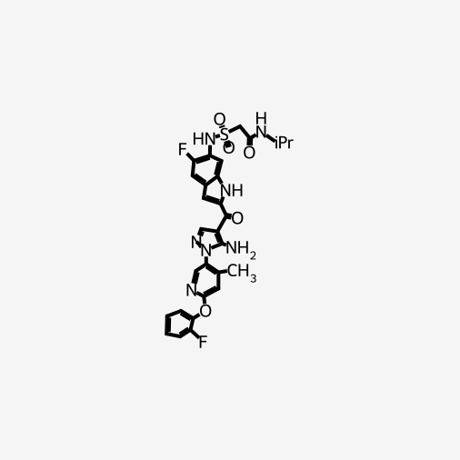 Cc1cc(Oc2ccccc2F)ncc1-n1ncc(C(=O)c2cc3cc(F)c(NS(=O)(=O)CC(=O)NC(C)C)cc3[nH]2)c1N